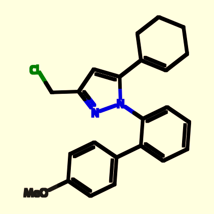 COc1ccc(-c2ccccc2-n2nc(CCl)cc2C2=CCCCC2)cc1